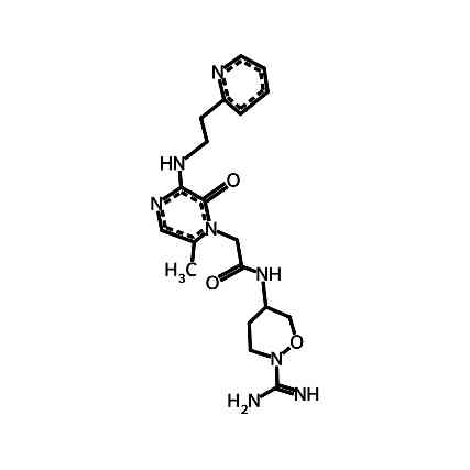 Cc1cnc(NCCc2ccccn2)c(=O)n1CC(=O)NC1CCN(C(=N)N)OC1